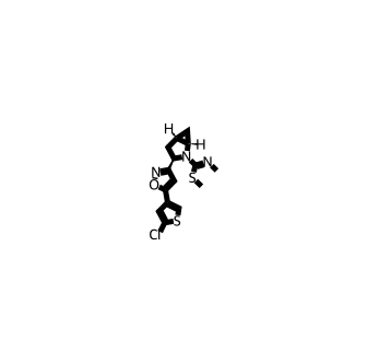 CN=C(SC)N1[C@@H](c2cc(-c3csc(Cl)c3)on2)C[C@H]2C[C@H]21